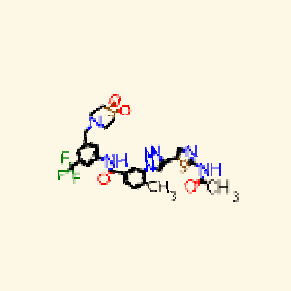 CC(=O)Nc1ncc(-c2cn(-c3cc(C(=O)Nc4cc(CN5CCS(=O)(=O)CC5)cc(C(F)(F)F)c4)ccc3C)nn2)s1